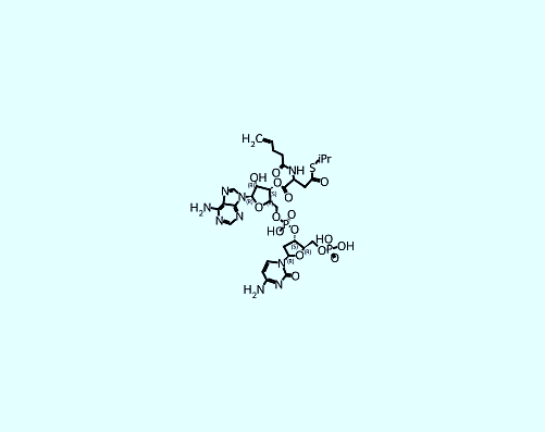 C=CCCC(=O)NC(CC(=O)SC(C)C)C(=O)O[C@H]1[C@@H](O)[C@H](n2cnc3c(N)ncnc32)O[C@@H]1COP(=O)(O)O[C@H]1C[C@H](n2ccc(N)nc2=O)O[C@@H]1COP(=O)(O)O